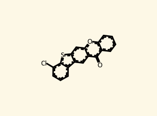 O=c1c2ccccc2oc2cc3sc4c(Cl)cccc4c3cc12